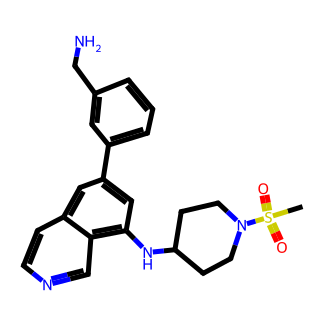 CS(=O)(=O)N1CCC(Nc2cc(-c3cccc(CN)c3)cc3ccncc23)CC1